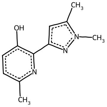 Cc1ccc(O)c(-c2cc(C)n(C)n2)n1